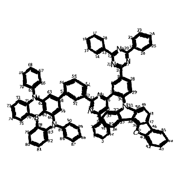 c1ccc(-c2cc(-c3cc(-c4nc(-c5ccccc5)nc(-c5ccccc5)n4)ccc3-n3c4ccccc4c4c5oc6ccccc6c5ccc43)nc(-c3cccc(-c4cc5c6c(c4)N(c4ccccc4)c4ccccc4B6c4ccccc4N5c4ccccc4)c3)n2)cc1